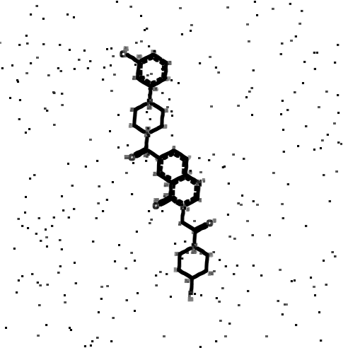 O=C(Cn1cnc2ccc(C(=O)N3CCN(c4cccc(Cl)c4)CC3)cc2c1=O)N1CCC(F)CC1